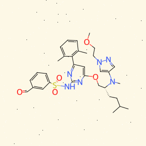 COCCn1cc(N(C)[C@H](CCC(C)C)COc2cc(-c3c(C)cccc3C)nc(NS(=O)(=O)c3cccc(C=O)c3)n2)cn1